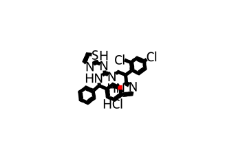 Cl.Clc1ccc(C(CN=C(Nc2nccs2)NC(c2ccccc2)c2ccccc2)c2ncc[nH]2)c(Cl)c1